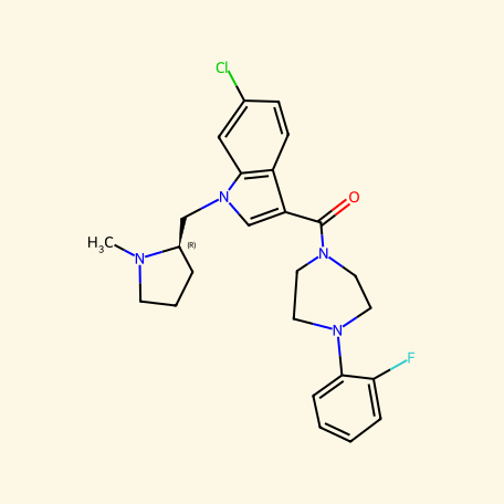 CN1CCC[C@@H]1Cn1cc(C(=O)N2CCN(c3ccccc3F)CC2)c2ccc(Cl)cc21